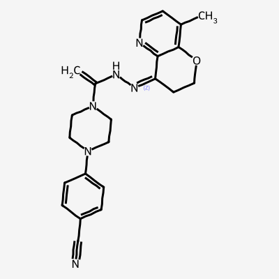 C=C(N/N=C1/CCOc2c(C)ccnc21)N1CCN(c2ccc(C#N)cc2)CC1